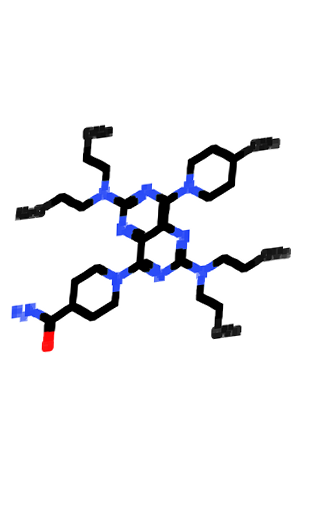 COCCN(CCOC)c1nc(N2CCC(C(N)=O)CC2)c2nc(N(CCOC)CCOC)nc(N3CCC(OC)CC3)c2n1